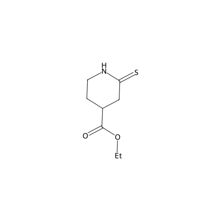 CCOC(=O)C1CCNC(=S)C1